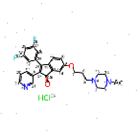 CC(=O)N1CCN(CCCOc2ccc3c(c2)C(=O)C(c2cccnc2)=C3c2cc(F)cc(F)c2)CC1.Cl